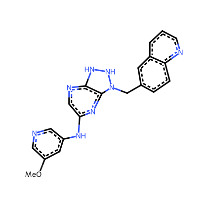 COc1cncc(Nc2cnc3c(n2)N(Cc2ccc4ncccc4c2)NN3)c1